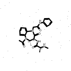 CN[C@@H](C)C(=O)N[C@@H]1C(=O)N(CC(=O)Nc2ccccc2)c2ccccc2N(C(C)=O)[C@H]1C